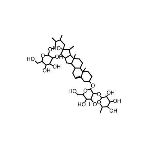 CC(COC1OC(CO)C(O)C(O)C1O)C(C)CC1(O)CC2CC3C4CC=C5CC(OC6OC(CO)C(O)C(O)C6OC6OC(C)C(O)C(O)C6O)CCC5(C)C4CCC3(C)C2C1C